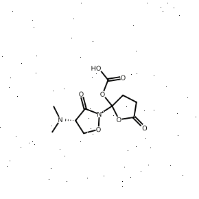 CN(C)[C@H]1CON(C2(OC(=O)O)CCC(=O)O2)C1=O